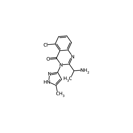 Cc1cc(-n2c(C(C)N)nc3cccc(Cl)c3c2=O)n[nH]1